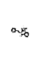 O=c1c2cc(F)ccc2n2c(=S)[nH]nc2n1CCc1cccnc1